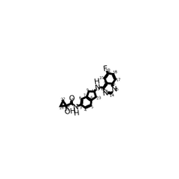 O=C(Nc1ccc2c(c1)CC(Nc1ncnc3ccc(F)cc13)C2)C1(O)CC1